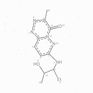 CCC(Nc1ccc2nnc(C)c(=O)n2n1)C(C)O